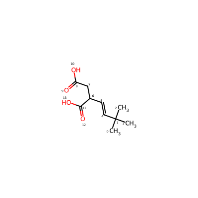 CC(C)(C)C=CC(CC(=O)O)C(=O)O